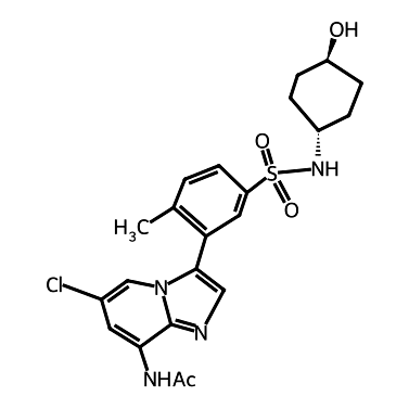 CC(=O)Nc1cc(Cl)cn2c(-c3cc(S(=O)(=O)N[C@H]4CC[C@H](O)CC4)ccc3C)cnc12